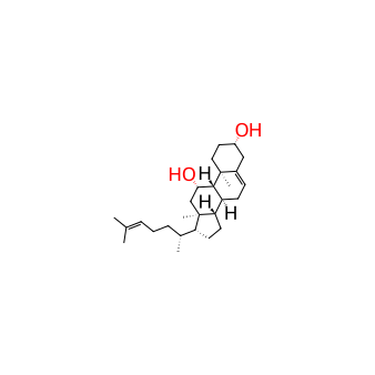 CC(C)=CCC[C@@H](C)[C@H]1CC[C@H]2[C@@H]3CC=C4C[C@@H](O)CC[C@]4(C)[C@H]3[C@@H](O)C[C@]12C